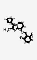 Cc1nc2c(OCc3c(F)cccc3F)cccn2c1-c1ccsc1